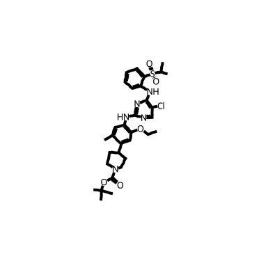 CCOc1cc(C2CCN(C(=O)OC(C)(C)C)CC2)c(C)cc1Nc1ncc(Cl)c(Nc2ccccc2S(=O)(=O)C(C)C)n1